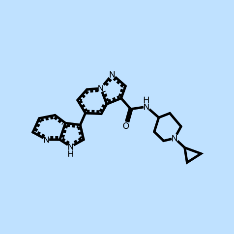 O=C(NC1CCN(C2CC2)CC1)c1cnn2ccc(-c3c[nH]c4ncccc34)cc12